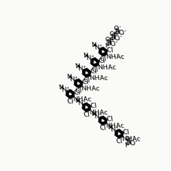 CC(=O)Nc1c(Cl)cc([N+]#N)cc1Cl.CC(=O)Nc1c(Cl)cc([N+]#N)cc1Cl.CC(=O)Nc1c(Cl)cc([N+]#N)cc1Cl.CC(=O)Nc1c(Cl)cc([N+]#N)cc1Cl.CC(=O)Nc1c(Cl)cc([N+]#N)cc1Cl.CC(=O)Nc1c(Cl)cc([N+]#N)cc1Cl.CC(=O)Nc1c(Cl)cc([N+]#N)cc1Cl.CC(=O)Nc1c(Cl)cc([N+]#N)cc1Cl.[O-]B([O-])F.[O-]B([O-])F.[O-]B([O-])F.[O-]B([O-])F